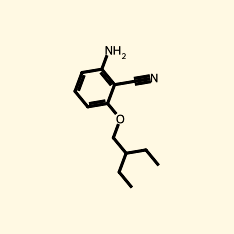 CCC(CC)COc1cccc(N)c1C#N